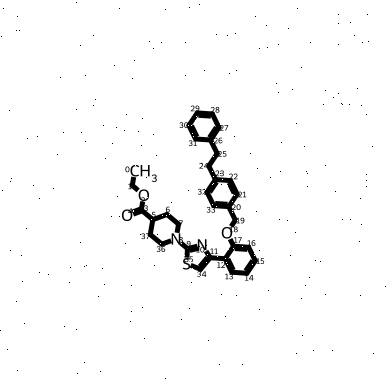 CCOC(=O)C1CCN(c2nc(-c3ccccc3OCc3ccc(CCc4ccccc4)cc3)cs2)CC1